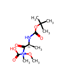 CO[N+](C)(C(=O)O)C(=O)[C@H](C)NC(=O)OC(C)(C)C